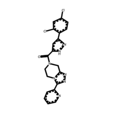 O=C(c1cc(-c2ccc(Cl)cc2Cl)n[nH]1)N1CCn2c(nnc2-c2ccccn2)C1